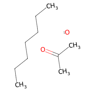 CC(C)=O.CCCCCCC.[O]